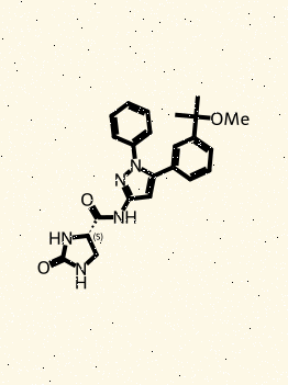 COC(C)(C)c1cccc(-c2cc(NC(=O)[C@@H]3CNC(=O)N3)nn2-c2ccccc2)c1